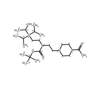 CC(=O)N1CCN(CCN(CCS(C(C)C)(C(C)C)C(C)C)C(=O)OC(C)(C)C)CC1